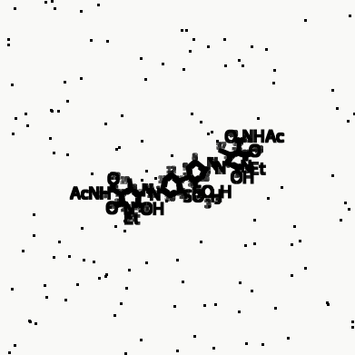 CCn1c(O)c(N=Nc2ccc(-c3ccc(N=Nc4c(C)c(C(=O)NC(C)=O)c(=O)n(CC)c4O)cc3S(=O)(=O)O)c(S(=O)(=O)O)c2)c(C)c(C(=O)NC(C)=O)c1=O